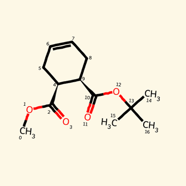 COC(=O)[C@H]1CC=CC[C@H]1C(=O)OC(C)(C)C